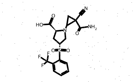 N#CC1(C(N)=O)CC1N1C[C@H](S(=O)(=O)c2ccccc2C(F)(F)F)C[C@H]1C(=O)O